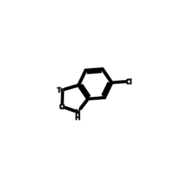 Clc1ccc2c(c1)NO[Te]2